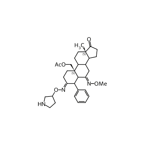 CON=C1CC2C(CC[C@]3(C)C(=O)CCC23)[C@@]2(COC(C)=O)CCC(=NOC3CCNC3)C(c3ccccc3)C12